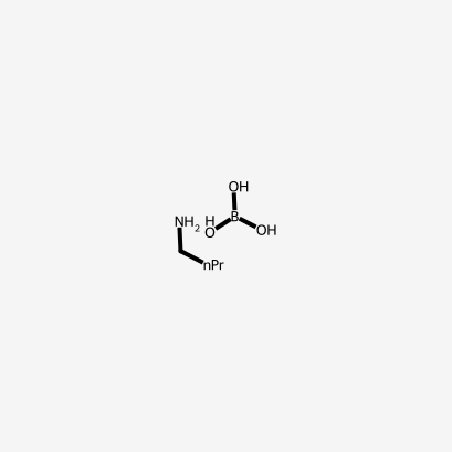 CCCCN.OB(O)O